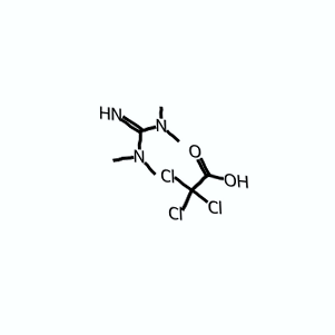 CN(C)C(=N)N(C)C.O=C(O)C(Cl)(Cl)Cl